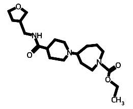 CCOC(=O)N1CCCC(N2CCC(C(=O)NCC3CCOC3)CC2)CC1